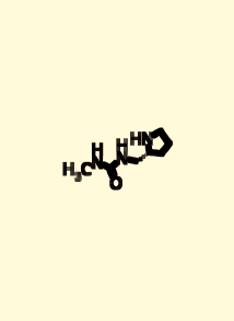 CNC(=O)NC[C@H]1CCCN1